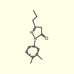 CCCC1=NN(c2ccc(C)c(C)c2)C(=O)C1